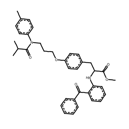 COC(=O)C(Cc1ccc(OCCCN(C(=O)C(C)C)c2ccc(C)cc2)cc1)Nc1ccccc1C(=O)c1ccccc1